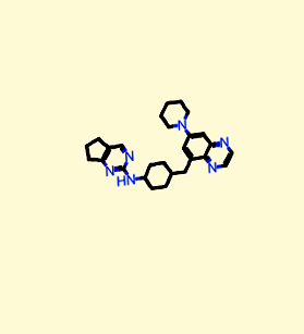 c1cnc2c(CC3CCC(Nc4ncc5c(n4)CCC5)CC3)cc(N3CCCCC3)cc2n1